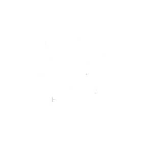 Oc1c(Br)c(Br)c(C(F)(F)F)c(Br)c1Br